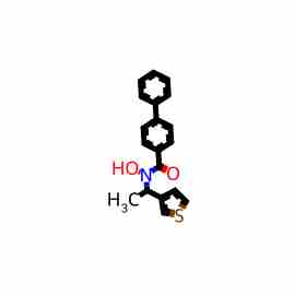 CC(c1ccsc1)N(O)C(=O)c1ccc(-c2ccccc2)cc1